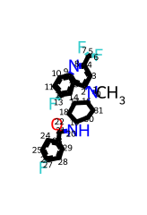 CN(c1cc(C(F)F)nc2ccc(F)cc12)[C@H]1CC[C@@H](NC(=O)c2ccc(F)cc2)CC1